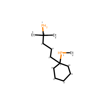 CCPC1(CCCC(P)(CC)CC)CCCCC1